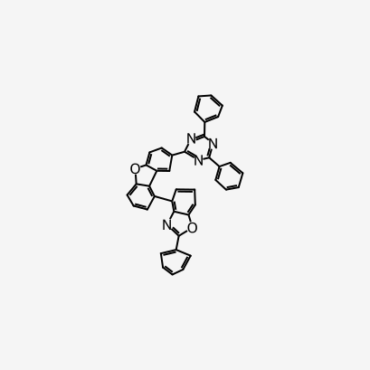 c1ccc(-c2nc(-c3ccccc3)nc(-c3ccc4oc5cccc(-c6cccc7oc(-c8ccccc8)nc67)c5c4c3)n2)cc1